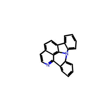 c1ccc2c(c1)c1ccc3ccnc4c5ccccc5n2c1c34